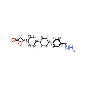 NCc1ccc([C@H]2CC[C@H]([C@H]3CC[C@@H](C4CC(=O)O4)CC3)CC2)cc1